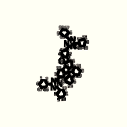 c1ccc(-c2nc(-c3ccccc3)nc(-c3ccc4c(c3)C3(c5ccccc5-c5ccccc53)c3ccc5c(oc6ccc(-c7nc(-c8ccccc8)nc(-c8ccccc8)n7)cc65)c3-4)n2)cc1